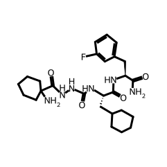 NC(=O)[C@H](Cc1cccc(F)c1)NC(=O)[C@H](CC1CCCCC1)NC(=O)NNC(=O)C1(N)CCCCC1